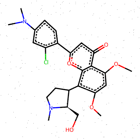 COc1cc(OC)c2c(=O)cc(-c3ccc(N(C)C)cc3Cl)oc2c1C1CCN(C)[C@@H]1CO